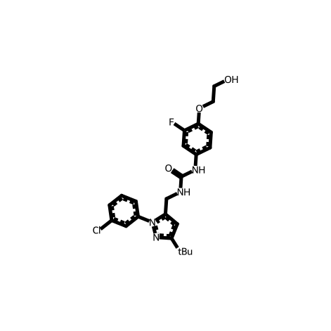 CC(C)(C)c1cc(CNC(=O)Nc2ccc(OCCO)c(F)c2)n(-c2cccc(Cl)c2)n1